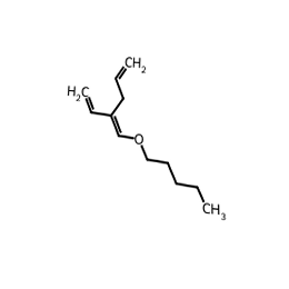 C=CC/C(C=C)=C\OCCCCC